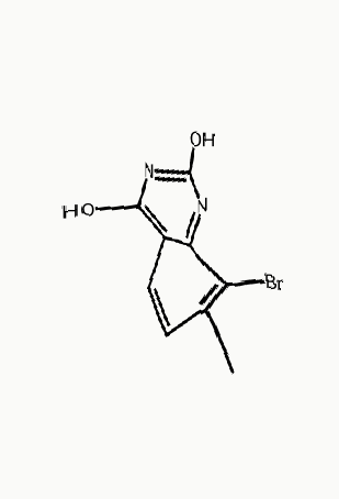 Cc1ccc2c(O)nc(O)nc2c1Br